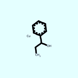 CCC(O)c1ccccc1.[Cu]